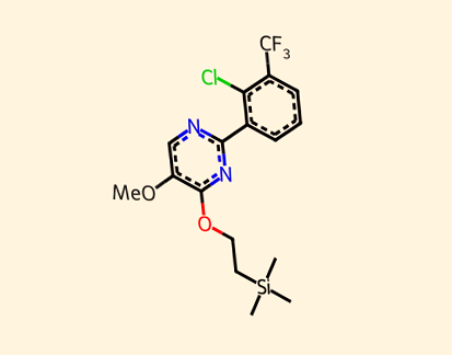 COc1cnc(-c2cccc(C(F)(F)F)c2Cl)nc1OCC[Si](C)(C)C